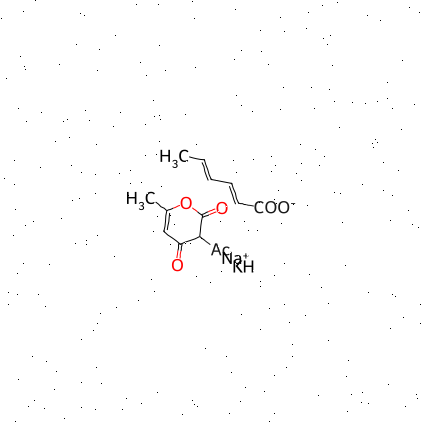 CC(=O)C1C(=O)C=C(C)OC1=O.CC=CC=CC(=O)[O-].[KH].[Na+]